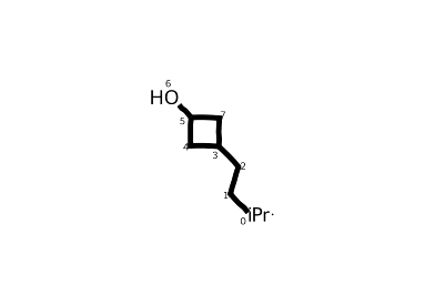 C[C](C)CCC1CC(O)C1